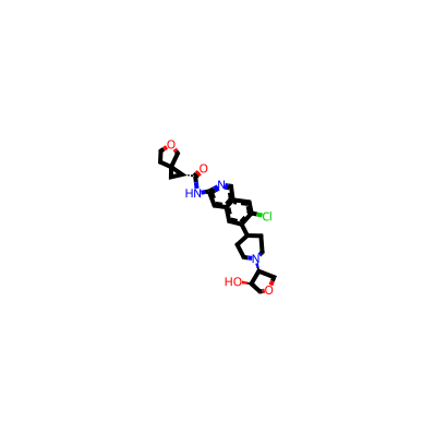 O=C(Nc1cc2cc(C3CCN([C@H]4COC[C@H]4O)CC3)c(Cl)cc2cn1)[C@@H]1CC12CCOC2